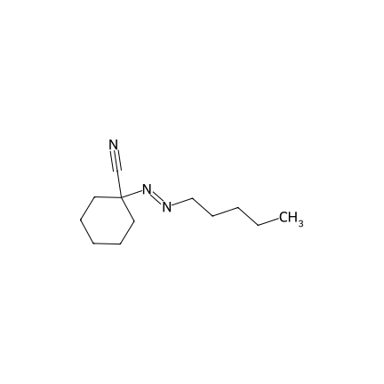 CCCCCN=NC1(C#N)CCCCC1